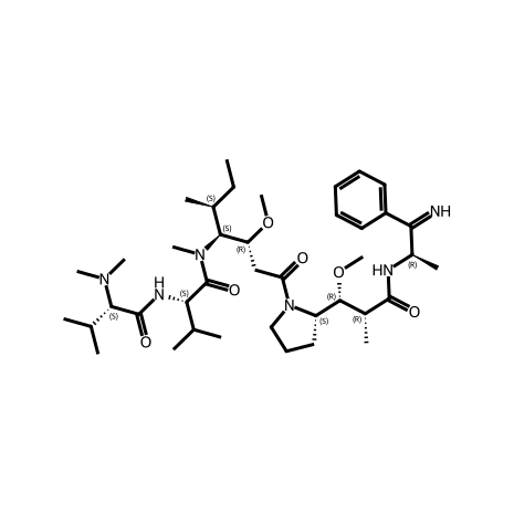 CC[C@H](C)[C@@H]([C@@H](CC(=O)N1CCC[C@H]1[C@H](OC)[C@@H](C)C(=O)N[C@H](C)C(=N)c1ccccc1)OC)N(C)C(=O)[C@@H](NC(=O)[C@H](C(C)C)N(C)C)C(C)C